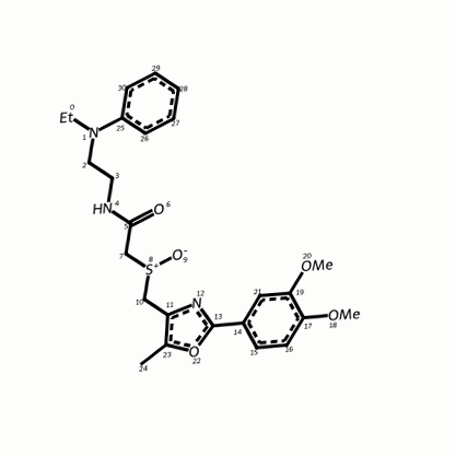 CCN(CCNC(=O)C[S+]([O-])Cc1nc(-c2ccc(OC)c(OC)c2)oc1C)c1ccccc1